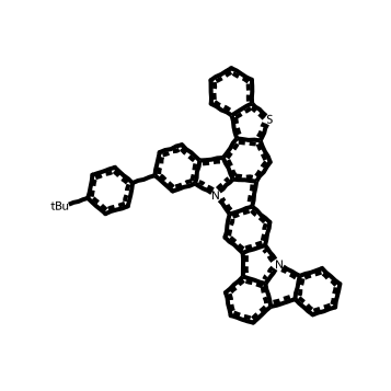 CC(C)(C)c1ccc(-c2ccc3c4c5c(cc6c7cc8c(cc7n(c3c2)c64)c2cccc3c4ccccc4n8c32)sc2ccccc25)cc1